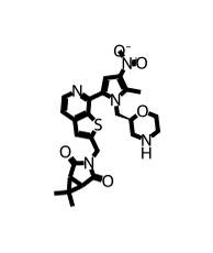 Cc1c([N+](=O)[O-])cc(-c2nccc3cc(CN4C(=O)C5C(C4=O)C5(C)C)sc23)n1C[C@@H]1CNCCO1